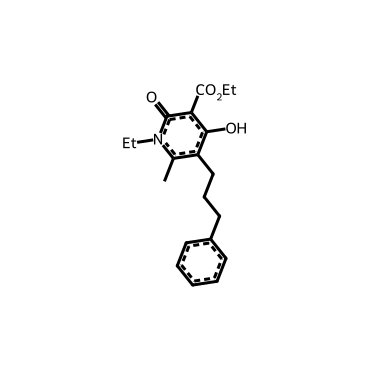 CCOC(=O)c1c(O)c(CCCc2ccccc2)c(C)n(CC)c1=O